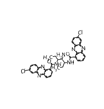 CCC(NC(=O)c1cccc2nc3cc(Cl)ccc3nc12)C(N)C(CC)NC(=O)c1cccc2nc3cc(Cl)ccc3nc12